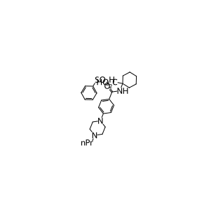 CCCN1CCN(c2ccc(C(=O)NC3(C(=O)O)CCCCC3)cc2)CC1.O=S(=O)(O)c1ccccc1